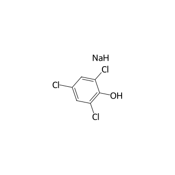 Oc1c(Cl)cc(Cl)cc1Cl.[NaH]